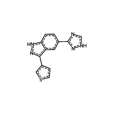 c1nc(-c2ccc3[nH]nc(-c4ccsc4)c3c2)n[nH]1